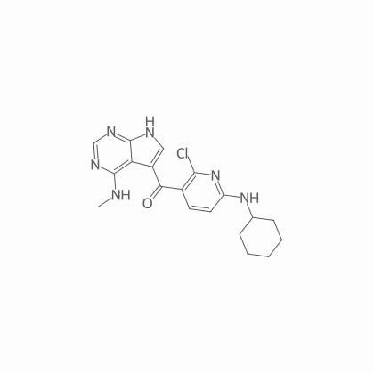 CNc1ncnc2[nH]cc(C(=O)c3ccc(NC4CCCCC4)nc3Cl)c12